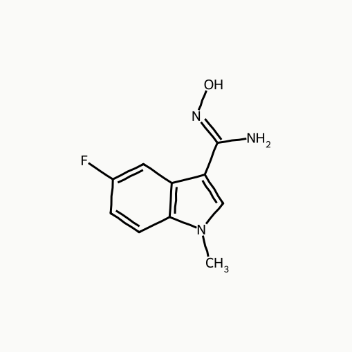 Cn1cc(C(N)=NO)c2cc(F)ccc21